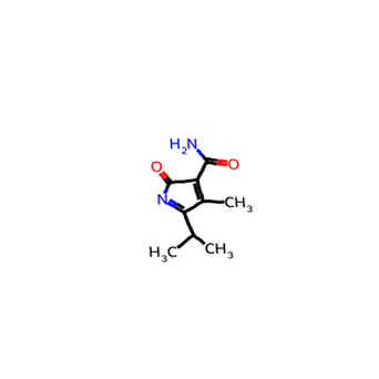 CC1=C(C(N)=O)C(=O)N=C1C(C)C